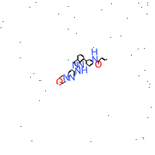 C/C=C/C(=O)Nc1cccc(-c2cccc3cnc(Nc4ccc(N5CCOCC5)nc4)nc23)c1